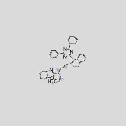 C\C=C/C(=C\C=C\c1ccc2ccccc2c1-c1nc(-c2ccccc2)nc(-c2ccccc2)n1)c1nc2ccccc2o1